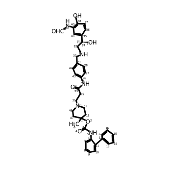 CC1(OC(=O)Nc2ccccc2-c2ccccc2)CCN(CCC(=O)Nc2ccc(CNC[C@H](O)c3ccc(O)c(NC=O)c3)cc2)CC1